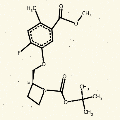 COC(=O)c1cc(OC[C@@H]2CCN2C(=O)OC(C)(C)C)c(F)cc1C